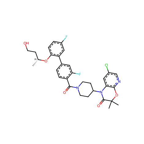 C[C@H](CCO)Oc1ccc(F)cc1-c1ccc(C(=O)N2CCC(N3C(=O)C(C)(C)Oc4ncc(Cl)cc43)CC2)c(F)c1